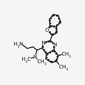 Cc1ccc2c(C(CCN)N(C)C)nc(-c3cc4ccccc4o3)nc2c1C